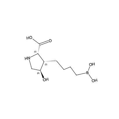 O=C(O)[C@H]1NC[C@H](O)[C@H]1CCCCB(O)O